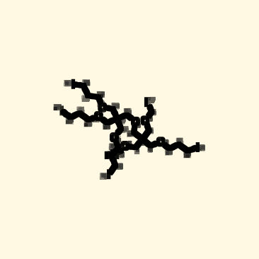 CCCOCC(COCF)(COCCCI)COCC(COCCCI)(COCCCI)COCCCI